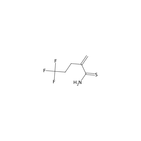 C=C(CCC(F)(F)F)C(N)=S